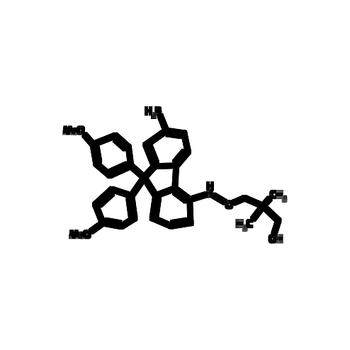 Bc1ccc2c(c1)C(c1ccc(OC)cc1)(c1ccc(OC)cc1)c1cccc(BOCC(C)(C)CO)c1-2